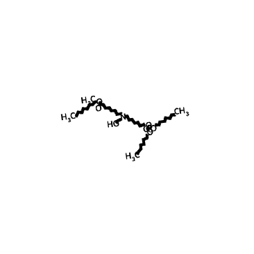 CCCCCCCCCOP(=O)(OCCCCCCCC)OCCCCCCCN(CCO)CCCCCCCC(=O)OC(C)CCCCCCCC